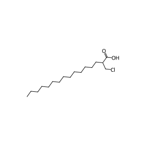 CCCCCCCCCCCCCCC(CCl)C(=O)O